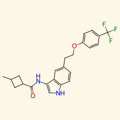 CC1CC(C(=O)Nc2c[nH]c3ccc(CCOc4ccc(C(F)(F)F)cc4)cc23)C1